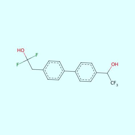 OC(c1ccc(-c2ccc(CC(O)(F)F)cc2)cc1)C(F)(F)F